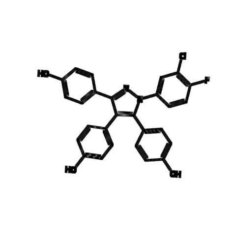 Oc1ccc(-c2nn(-c3ccc(F)c(Cl)c3)c(-c3ccc(O)cc3)c2-c2ccc(O)cc2)cc1